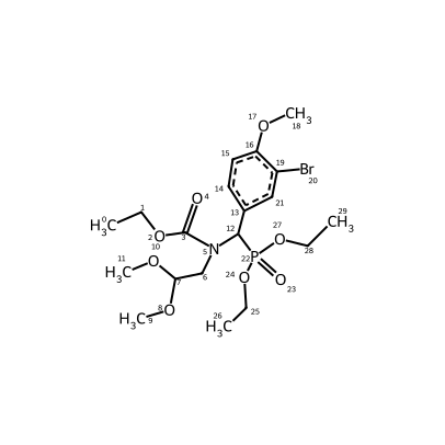 CCOC(=O)N(CC(OC)OC)C(c1ccc(OC)c(Br)c1)P(=O)(OCC)OCC